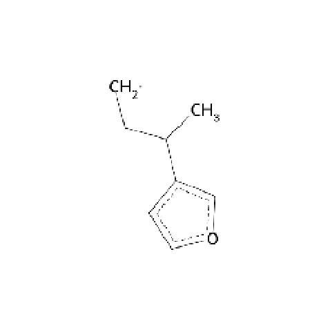 [CH2]CC(C)c1ccoc1